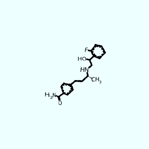 C[C@H](CCc1ccc(C(N)=O)cc1)NCC(O)c1ccccc1F